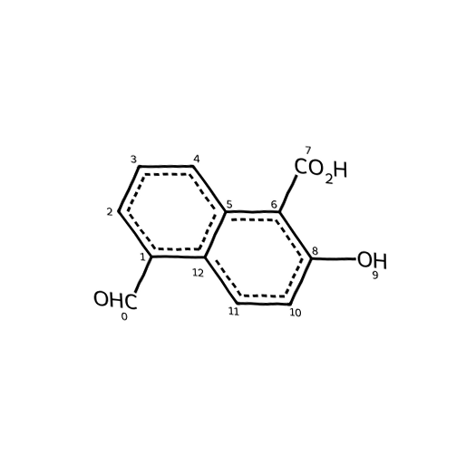 O=Cc1cccc2c(C(=O)O)c(O)ccc12